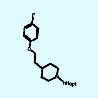 CCCCCCCN1CCC(CCOc2ccc(F)cc2)CC1